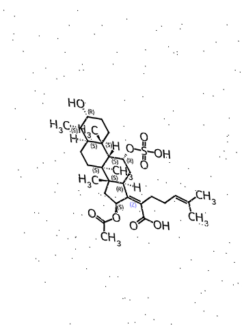 CC(=O)O[C@H]1C[C@@]2(C)[C@@H](C[C@@H](OS(=O)(=O)O)[C@H]3[C@@]4(C)CC[C@@H](O)[C@@H](C)[C@@H]4CC[C@@]32C)/C1=C(\CCC=C(C)C)C(=O)O